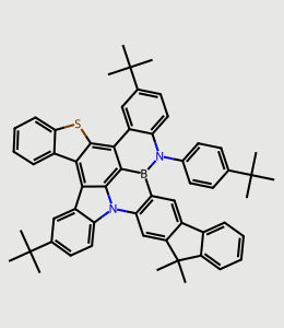 CC(C)(C)c1ccc(N2B3c4cc5c(cc4-n4c6ccc(C(C)(C)C)cc6c6c7c(sc8ccccc87)c(c3c64)-c3cc(C(C)(C)C)ccc32)C(C)(C)c2ccccc2-5)cc1